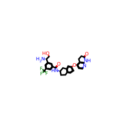 N[C@H](CO)c1cc(C(=O)N[C@@H]2CCc3ccc(Oc4ccnc5c4CCC(=O)N5)cc3C2)cc(C(F)(F)F)c1